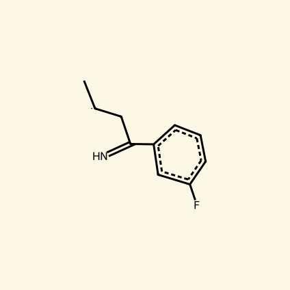 C[CH]CC(=N)c1cccc(F)c1